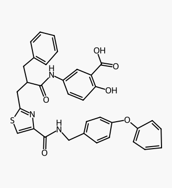 O=C(NCc1ccc(Oc2ccccc2)cc1)c1csc(CC(Cc2ccccc2)C(=O)Nc2ccc(O)c(C(=O)O)c2)n1